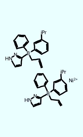 C=CC[B-](c1ccccc1)(c1cccc(C(C)C)c1)c1cc[nH]n1.C=CC[B-](c1ccccc1)(c1cccc(C(C)C)c1)c1cc[nH]n1.[Ni+2]